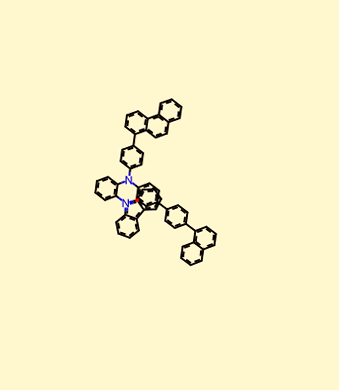 c1ccc(-n2c3ccccc3c3ccccc32)c(N(c2ccc(-c3ccc(-c4cccc5ccccc45)cc3)cc2)c2ccc(-c3cccc4c3ccc3ccccc34)cc2)c1